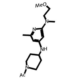 COCCN(C)c1cc(NC2CCN(C(C)=O)CC2)cc(C)n1